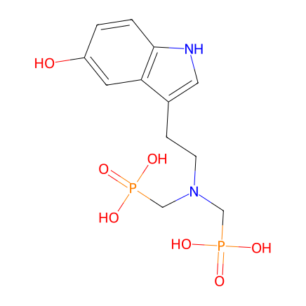 O=P(O)(O)CN(CCc1c[nH]c2ccc(O)cc12)CP(=O)(O)O